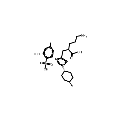 C[C@H]1CC[C@H](n2cnc(CC(CCCN)C(=O)O)c2)CC1.Cc1ccc(S(=O)(=O)O)cc1.O